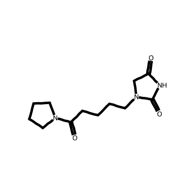 O=C1CN(CCCCC(=O)N2CCCC2)C(=O)N1